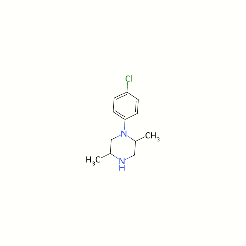 CC1CN(c2ccc(Cl)cc2)C(C)CN1